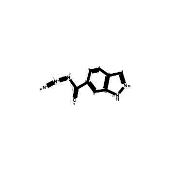 [N-]=[N+]=NC(=O)c1ccc2cn[nH]c2c1